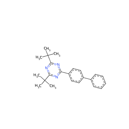 CC(C)(C)c1nc(-c2ccc(-c3ccccc3)cc2)nc(C(C)(C)C)n1